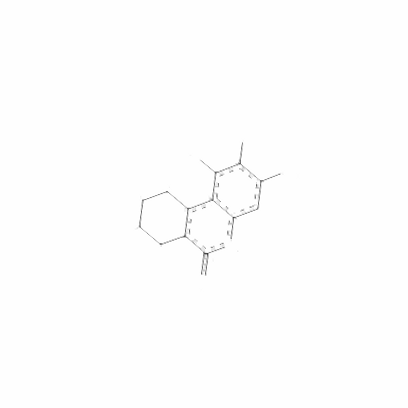 Cc1cc2oc(=O)c3c(c2c(O)c1Cl)CCCC3